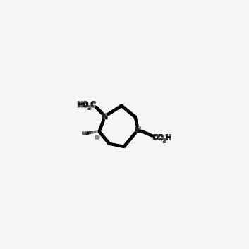 C[C@H]1CCN(C(=O)O)CCN1C(=O)O